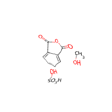 CO.O=C1OC(=O)c2ccccc21.O=S(=O)(O)O